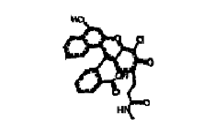 CNC(=O)CCc1cc2c(-c3ccccc3C(=O)O)c3c(cc(O)c4ccccc43)oc-2c(Cl)c1=O